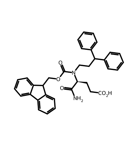 NC(=O)[C@H](CCC(=O)O)N(CCC(c1ccccc1)c1ccccc1)C(=O)OCC1c2ccccc2-c2ccccc21